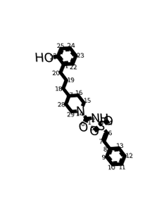 O=C(NS(=O)(=O)C=Cc1ccccc1)N1CCC(CCCc2ccccc2O)CC1